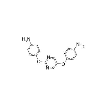 Nc1ccc(Oc2cnc(Oc3ccc(N)cc3)nc2)cc1